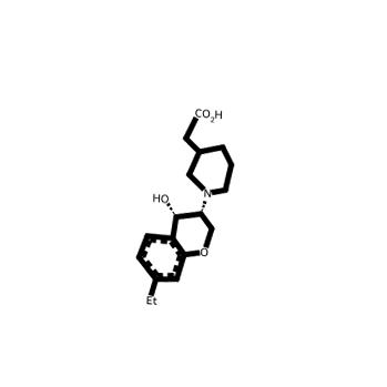 CCc1ccc2c(c1)OC[C@@H](N1CCCC(CC(=O)O)C1)[C@H]2O